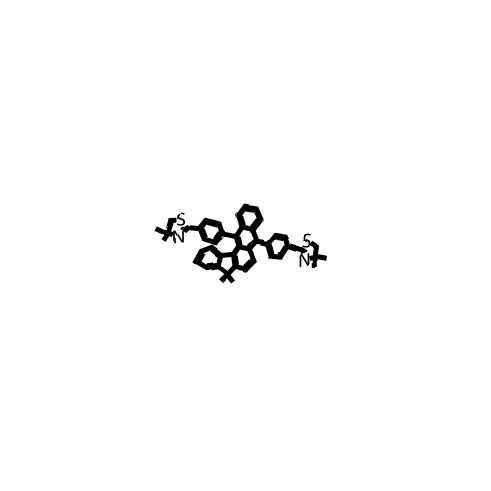 CC1(C)CSC(c2ccc(-c3c4ccccc4c(-c4ccc(C5=NC(C)(C)CS5)cc4)c4c5c(ccc34)C(C)(C)c3ccccc3-5)cc2)=N1